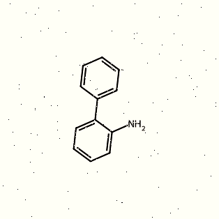 Nc1ccccc1-c1c[c]ccc1